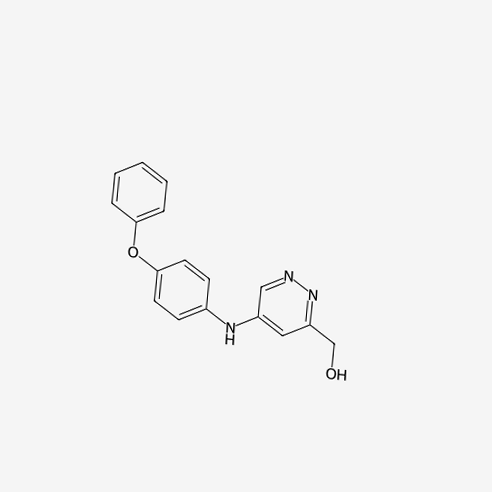 OCc1cc(Nc2ccc(Oc3ccccc3)cc2)cnn1